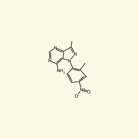 Cc1cc([N+](=O)[O-])ccc1-n1nc(C)c2ncnc(N)c21